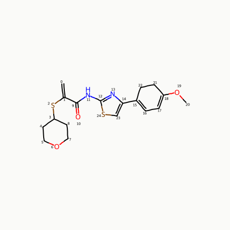 C=C(SC1CCOCC1)C(=O)Nc1nc(C2=CC=C(OC)CC2)cs1